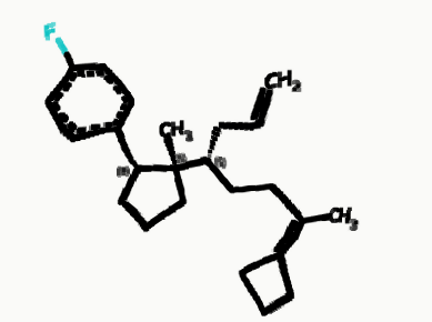 C=CC[C@H](CCC(C)=C1CCC1)[C@]1(C)CCC[C@H]1c1ccc(F)cc1